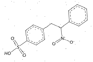 O=[N+]([O-])C(Cc1ccc(S(=O)(=O)O)cc1)c1ccccc1